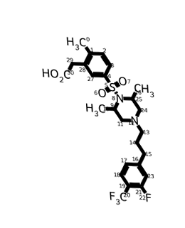 Cc1ccc(S(=O)(=O)N2C(C)CN(CCCc3ccc(C(F)(F)F)c(F)c3)CC2C)cc1CC(=O)O